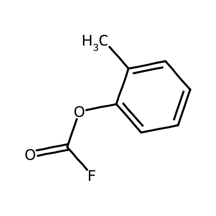 Cc1ccccc1OC(=O)F